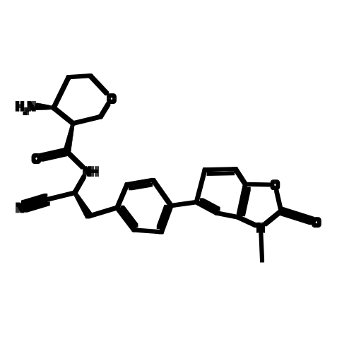 Cn1c(=O)oc2ccc(-c3ccc(C[C@@H](C#N)NC(=O)[C@@H]4COCC[C@@H]4N)cc3)cc21